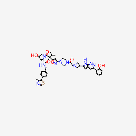 Cc1ncsc1-c1ccc(CNC(=O)[C@@H]2C[C@@H](O)CN2C(=O)C(C)(c2cc(N3CCN(C(=O)CN4CC(c5cc6cc(-c7ccccc7O)nnc6[nH]5)C4)CC3)no2)C(C)C)cc1